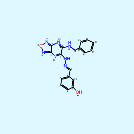 Oc1cccc(C=NNc2nc3nonc3nc2NCc2ccccc2)c1